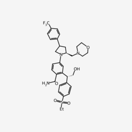 CCS(=O)(=O)c1ccc([C@@H](CO)c2cc(N3CC(c4ccc(C(F)(F)F)cc4)C[C@H]3CN3CCOCC3)ccc2C(N)=O)cc1